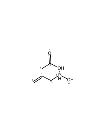 C=CCPO.CC(=O)O